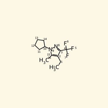 CCc1c(C(F)(F)F)nn(C2CCCC2)c1C